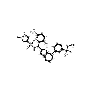 Cn1cc(S(=O)(=O)NC(c2cc3cccc(-c4cc(C(C)(O)CO)ccn4)c3s2)c2nc(N)ccc2Cl)cn1